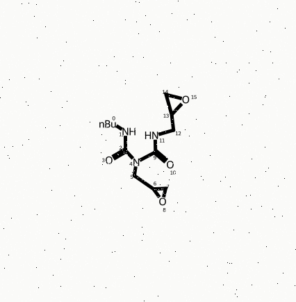 CCCCNC(=O)N(CC1CO1)C(=O)NCC1CO1